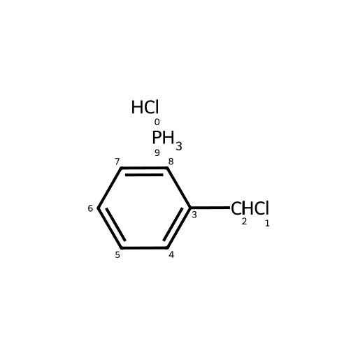 Cl.Cl.Clc1ccccc1.P